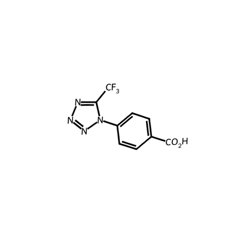 O=C(O)c1ccc(-n2nnnc2C(F)(F)F)cc1